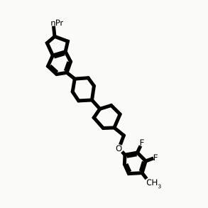 CCCC1Cc2ccc(C3CCC(C4CCC(COc5ccc(C)c(F)c5F)CC4)CC3)cc2C1